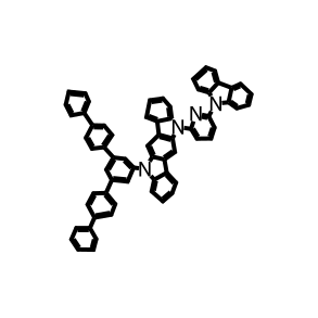 c1ccc(-c2ccc(-c3cc(-c4ccc(-c5ccccc5)cc4)cc(-n4c5ccccc5c5cc6c(cc54)c4ccccc4n6-c4cccc(-n5c6ccccc6c6ccccc65)n4)c3)cc2)cc1